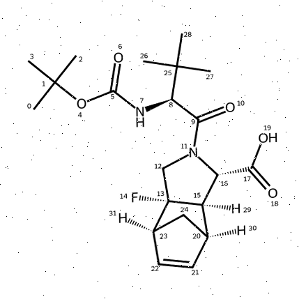 CC(C)(C)OC(=O)N[C@H](C(=O)N1C[C@@]2(F)[C@@H]([C@H]1C(=O)O)[C@H]1C=C[C@@H]2C1)C(C)(C)C